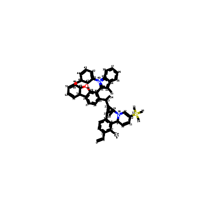 C=Cc1ccc2c(c1CC)C1C=CC(S(C)(C)C)=CN1C1(C)C2=C1C(C)c1ccc2c(c1-c1c(C)c3ccccc3n1C1=CC=CC(C)C1)OC1C=CC=CC21